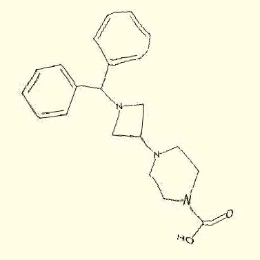 O=C(O)N1CCN(C2CN(C(c3ccccc3)c3ccccc3)C2)CC1